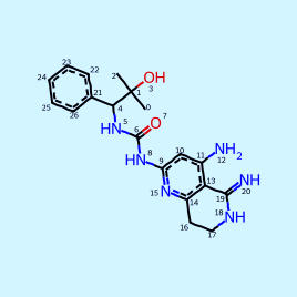 CC(C)(O)C(NC(=O)Nc1cc(N)c2c(n1)CCNC2=N)c1ccccc1